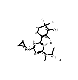 C[C@@H](N(C)c1nc(NC2CC2)nc(C2=C(F)[C@H](O)C(F)(F)CC2)n1)C(F)(F)F